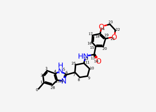 Cc1ccc2[nH]c(C3CCCC(NC(=O)c4ccc5c(c4)OCCO5)C3)nc2c1